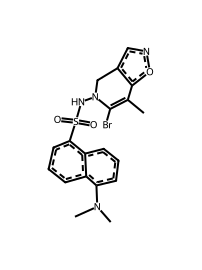 CC1=C(Br)N(NS(=O)(=O)c2cccc3c(N(C)C)cccc23)Cc2cnoc21